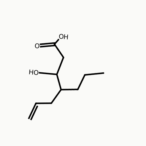 C=CCC(CCC)C(O)CC(=O)O